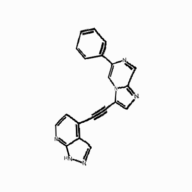 C(#Cc1cnc2cnc(-c3cc[c]cc3)cn12)c1ccnc2[nH]ncc12